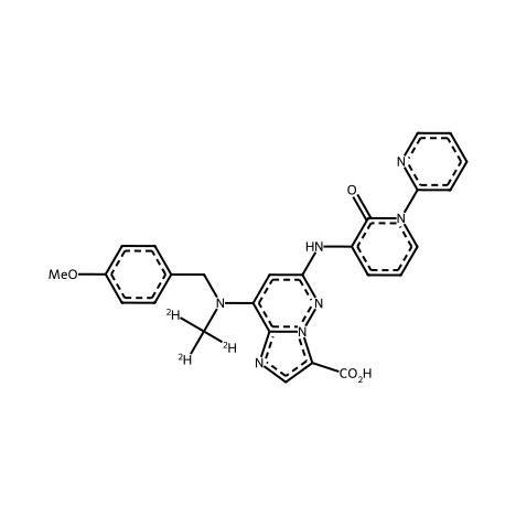 [2H]C([2H])([2H])N(Cc1ccc(OC)cc1)c1cc(Nc2cccn(-c3ccccn3)c2=O)nn2c(C(=O)O)cnc12